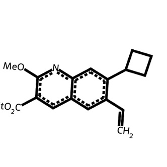 C=Cc1cc2cc(C(=O)OCC)c(OC)nc2cc1C1CCC1